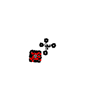 c1cc[c]([Sn]([c]2ccccc2)([c]2ccccc2)[Si]([Sn]([c]2ccccc2)([c]2ccccc2)[c]2ccccc2)([Sn]([c]2ccccc2)([c]2ccccc2)[c]2ccccc2)[Sn]([c]2ccccc2)([c]2ccccc2)[c]2ccccc2)cc1.c1ccc(SC[Si](CSc2ccccc2)(CSc2ccccc2)CSc2ccccc2)cc1